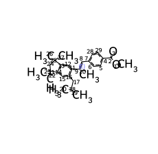 COC(=O)c1ccc(/C=C(\C)c2cc3c(cc2CC(C)C)C(C)(C)CC3(C)C)cc1